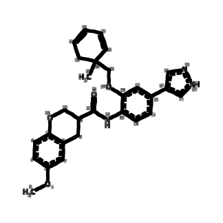 COc1ccc2c(c1)CC(C(=O)Nc1ccc(-c3cn[nH]c3)cc1OCC1(C)C=CC=CC1)CO2